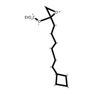 CCOC(=O)OC1(CCCCCCC2CCC2)CO1